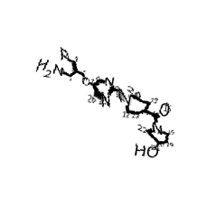 NC/C(=C\F)COc1cnc(N2CCC(C(=O)N3CC[C@H](O)C3)CC2)nc1